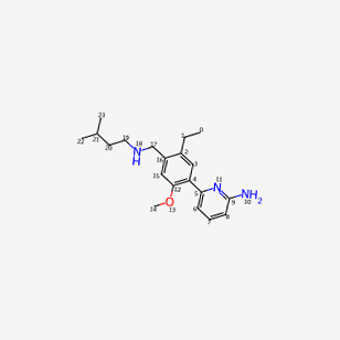 CCc1cc(-c2cccc(N)n2)c(OC)cc1CNCCC(C)C